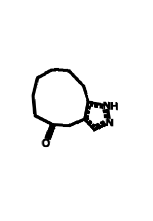 O=C1CCCCCCc2[nH]ncc2C1